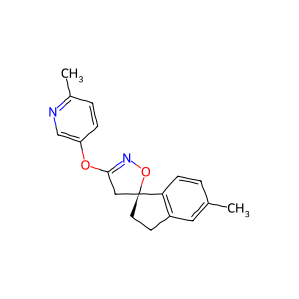 Cc1ccc2c(c1)CC[C@]21CC(Oc2ccc(C)nc2)=NO1